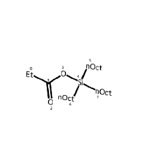 [CH2]CC(=O)O[Si](CCCCCCCC)(CCCCCCCC)CCCCCCCC